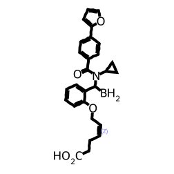 BC(c1ccccc1OC/C=C\CCC(=O)O)N(C(=O)c1ccc(-c2ccco2)cc1)C1CC1